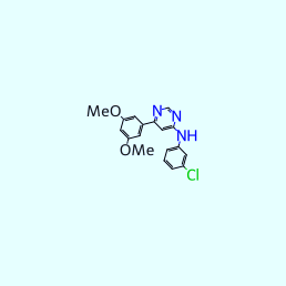 COc1cc(OC)cc(-c2cc(Nc3cccc(Cl)c3)ncn2)c1